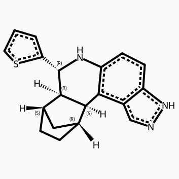 c1csc([C@@H]2Nc3ccc4[nH]ncc4c3[C@H]3[C@@H]4CC[C@@H](C4)[C@H]32)c1